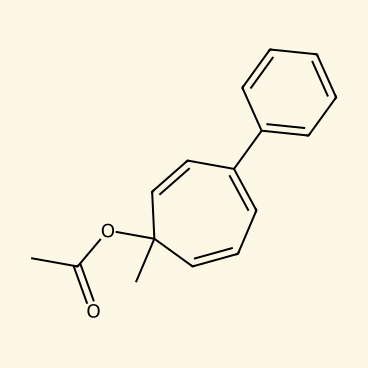 CC(=O)OC1(C)C=CC=C(c2ccccc2)C=C1